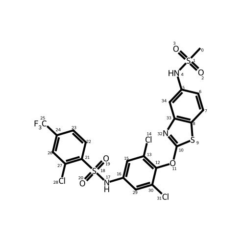 CS(=O)(=O)Nc1ccc2sc(Oc3c(Cl)cc(NS(=O)(=O)c4ccc(C(F)(F)F)cc4Cl)cc3Cl)nc2c1